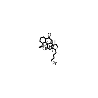 C=C(O)C1CCCC2C(=O)C[C@@H]3[C@H](CC[C@]4(C)[C@@H]([C@H](C)CCCC(C)C)CC[C@@H]34)[C@@]12C